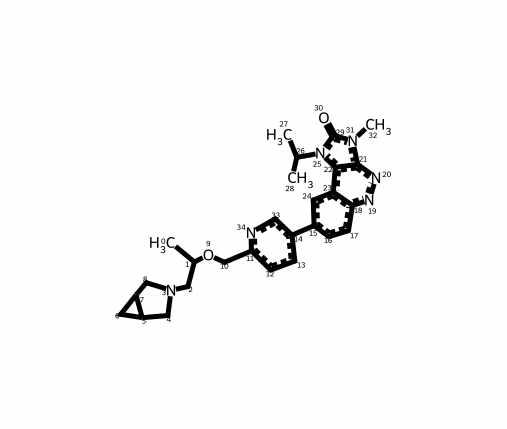 CC(CN1CC2CC2C1)OCc1ccc(-c2ccc3nnc4c(c3c2)n(C(C)C)c(=O)n4C)cn1